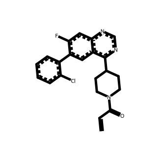 C=CC(=O)N1CCC(c2ncnc3cc(F)c(-c4ccccc4Cl)cc23)CC1